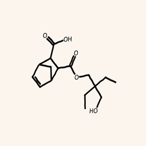 CCC(CC)(CO)COC(=O)C1C2C=CC(C2)C1C(=O)O